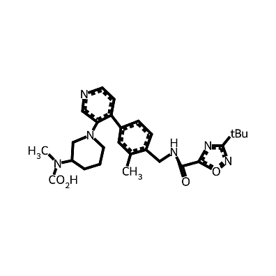 Cc1cc(-c2ccncc2N2CCCC(N(C)C(=O)O)C2)ccc1CNC(=O)c1nc(C(C)(C)C)no1